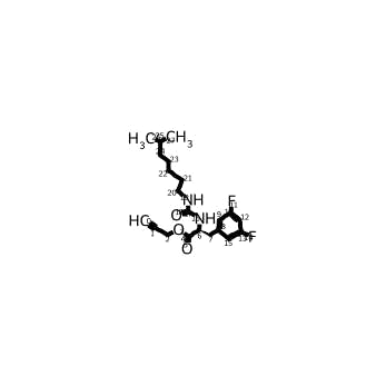 C#CCOC(=O)[C@H](Cc1cc(F)cc(F)c1)NC(=O)NCCCCCC(C)C